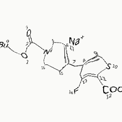 CC(C)(C)OC(=O)N1CC=C(c2csc(C(=O)[O-])c2F)CC1.[Na+]